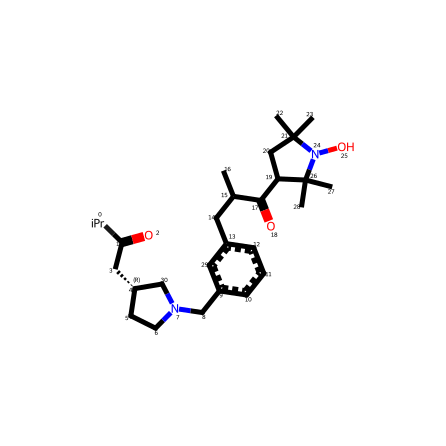 CC(C)C(=O)C[C@H]1CCN(Cc2cccc(CC(C)C(=O)C3CC(C)(C)N(O)C3(C)C)c2)C1